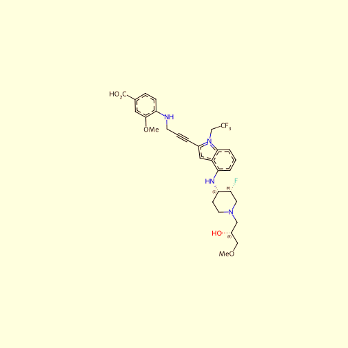 COC[C@H](O)CN1CC[C@H](Nc2cccc3c2cc(C#CCNc2ccc(C(=O)O)cc2OC)n3CC(F)(F)F)[C@H](F)C1